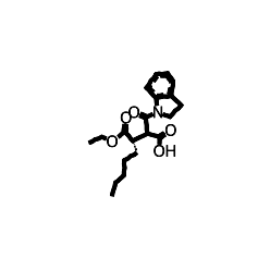 CCCCC[C@H](C(=O)OCC)C(C(=O)O)C(=O)N1CCc2ccccc21